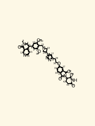 COc1cc(-c2cn(C)c(=O)c3cnccc23)cc(OC)c1CN1CC(n2cc(CCOc3ccc4c(c3)C(=O)N(C3CCC(=O)NC3=O)C4=O)nn2)C1